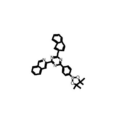 CC1(C)OB(c2ccc(-c3nc(-c4ccc5ccccc5c4)nc(-c4cc5ccccc5cn4)n3)cc2)OC1(C)C